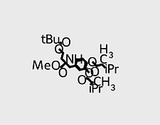 COC(=O)[C@@](N)(CCOC(=O)C(C)(C)C)Cc1ccc(OC(=O)C(C)C(C)C)c(OC(=O)C(C)C(C)C)c1